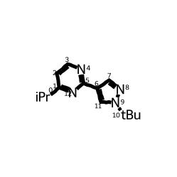 CC(C)c1ccnc(-c2cnn(C(C)(C)C)c2)n1